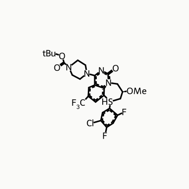 CO[C@@H]1Cn2c(=O)nc(N3CCN(C(=O)OC(C)(C)C)CC3)c3cc(C(F)(F)F)cc(c32)[SH](c2cc(Cl)c(F)cc2F)C1